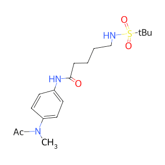 CC(=O)N(C)c1ccc(NC(=O)CCCCNS(=O)(=O)C(C)(C)C)cc1